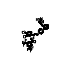 CN(C[C@@H](CCN1CCN(c2ccccc2Cc2c[nH]nn2)CC1)c1ccc(Cl)c(Cl)c1)C(=O)c1cc(C(F)(F)F)cc(C(F)(F)F)c1